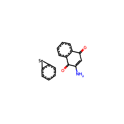 NC1=CC(=O)c2ccccc2C1=O.c1ccc2c(c1)[Se]2